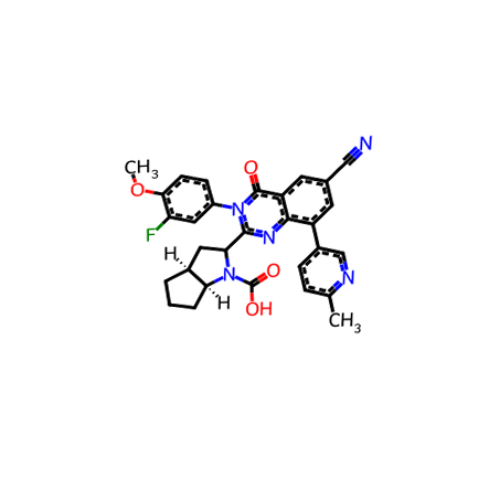 COc1ccc(-n2c(C3C[C@@H]4CCC[C@@H]4N3C(=O)O)nc3c(-c4ccc(C)nc4)cc(C#N)cc3c2=O)cc1F